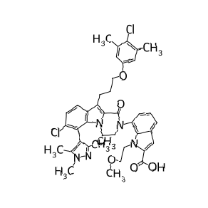 COCCn1c(C(=O)O)cc2cccc(N3C[C@@H](C)n4c(c(CCCOc5cc(C)c(Cl)c(C)c5)c5ccc(Cl)c(-c6c(C)nn(C)c6C)c54)C3=O)c21